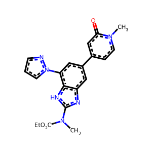 CCOC(=O)N(C)c1nc2cc(-c3ccn(C)c(=O)c3)cc(-n3cccn3)c2[nH]1